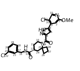 COc1cc(-c2cc(C(=O)N3CC[C@H](C(=O)NCc4cccc(Cl)c4)CC34CCC4)n[nH]2)c(Cl)cn1